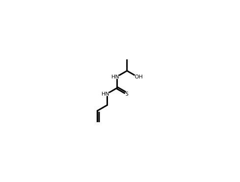 C=CCNC(=S)NC(C)O